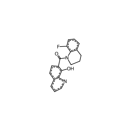 O=C(c1ccc2cccnc2c1O)N1CCCc2cccc(F)c21